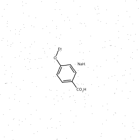 CCOc1ccc(C(=O)O)cc1.[NaH]